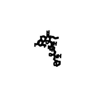 CCC[C@H](N[C@H]1CCc2cc(F)cc(F)c2C1)C(=O)Nc1cn(CC(=O)NC[C@H]2CCCO2)cn1